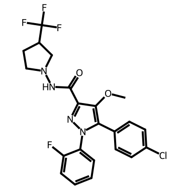 COc1c(C(=O)NN2CCC(C(F)(F)F)C2)nn(-c2ccccc2F)c1-c1ccc(Cl)cc1